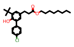 CCCCCCCCOC(=O)CCc1cc(-c2ccc(Cl)cc2)c(O)c(C(C)(C)C)c1